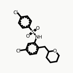 O=S(=O)(Nc1cc(Cl)ccc1CC1CCCCO1)c1ccc(Cl)cc1